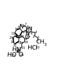 CCCCc1nc2cnc3ccccc3c2n1OC(CCCNC(=O)O)Cc1ccccc1.Cl